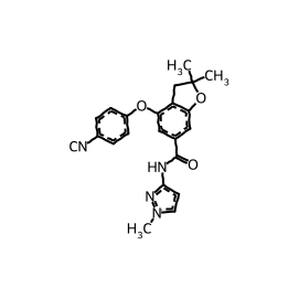 [C-]#[N+]c1ccc(Oc2cc(C(=O)Nc3ccn(C)n3)cc3c2CC(C)(C)O3)cc1